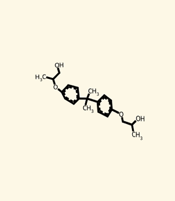 CC(O)COc1ccc(C(C)(C)c2ccc(OC(C)CO)cc2)cc1